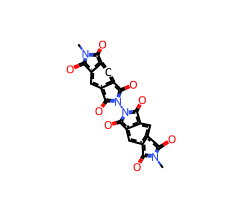 Cn1c(=O)c2cc3c(=O)n(-n4c(=O)c5cc6c(=O)n(C)c(=O)c6cc5c4=O)c(=O)c3cc2c1=O